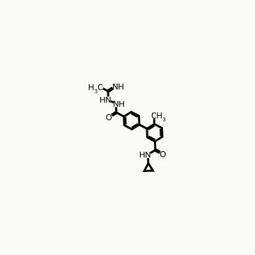 CC(=N)NNC(=O)c1ccc(-c2cc(C(=O)NC3CC3)ccc2C)cc1